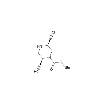 C#C[C@H]1CN(C(=O)OC(C)(C)C)[C@@H](C#C)CN1